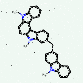 Cn1c2ccccc2c2cc(Cc3ccc4c5c6c7ccccc7n(C)c6ccc5n(C)c4c3)ccc21